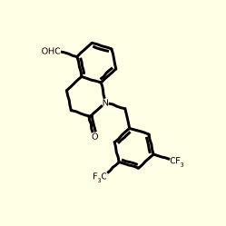 O=Cc1cccc2c1CCC(=O)N2Cc1cc(C(F)(F)F)cc(C(F)(F)F)c1